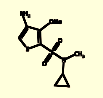 COc1c(N)csc1S(=O)(=O)N(C)C1CC1